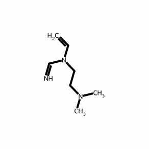 C=CN(C=N)CCN(C)C